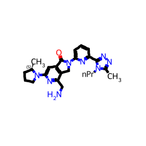 CCCn1c(C)nnc1-c1cccc(N2Cc3c(cc(N4CCC[C@@H]4C)nc3CN)C2=O)n1